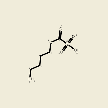 CCCCCOC(=O)S(=O)(=O)O